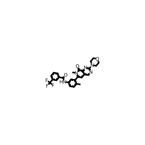 Cc1ccc(NC(=O)c2cccc(C(F)(F)F)c2)cc1-c1cc2cnc(N3CCOCC3)nc2c(=O)n1C